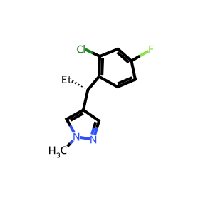 CC[C@@H](c1cnn(C)c1)c1ccc(F)cc1Cl